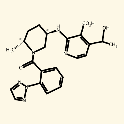 CC(O)c1ccnc(N[C@@H]2CC[C@@H](C)N(C(=O)c3ccccc3-n3nccn3)C2)c1C(=O)O